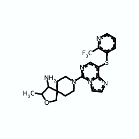 CC1OCC2(CCN(c3ncc(Sc4cccnc4C(F)(F)F)c4nccn34)CC2)C1N